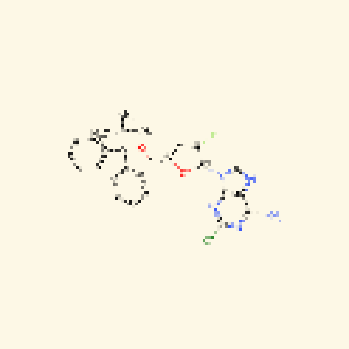 CC(C)(C)[Si](OC[C@@H]1C[C@H](F)[C@H](n2cnc3c(N)nc(Cl)nc32)O1)(c1ccccc1)c1ccccc1